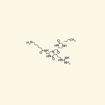 CCCC[C@@H]1NC[C@H](C(=O)CN2C[C@H](CNC(=O)CCCCCN)NC(=O)[C@@H]2CCCNC(=N)N)NC1=O